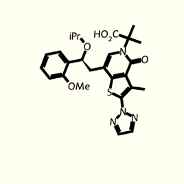 COc1ccccc1[C@H](Cc1cn(C(C)(C)C(=O)O)c(=O)c2c(C)c(-n3nccn3)sc12)OC(C)C